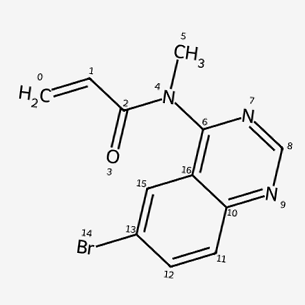 C=CC(=O)N(C)c1ncnc2ccc(Br)cc12